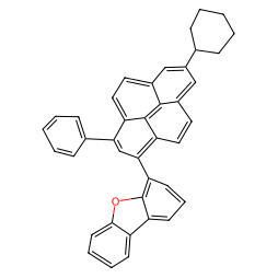 c1ccc(-c2cc(-c3cccc4c3oc3ccccc34)c3ccc4cc(C5CCCCC5)cc5ccc2c3c54)cc1